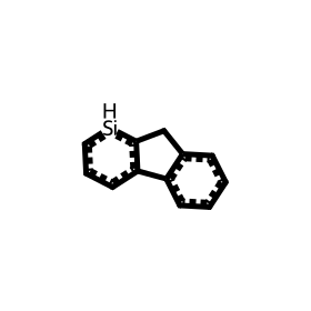 c1ccc2c(c1)Cc1[siH]cccc1-2